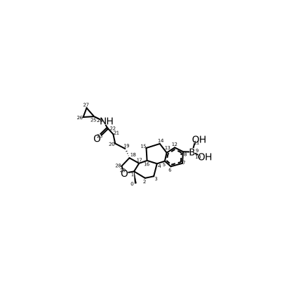 C[C@]12CCC3c4ccc(B(O)O)cc4CCC3C1[C@@H](CCCC(=O)NC1CC1)CO2